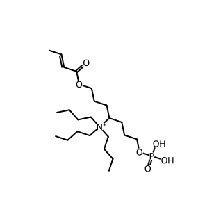 CC=CC(=O)OCCCC(CCCOP(=O)(O)O)[N+](CCCC)(CCCC)CCCC